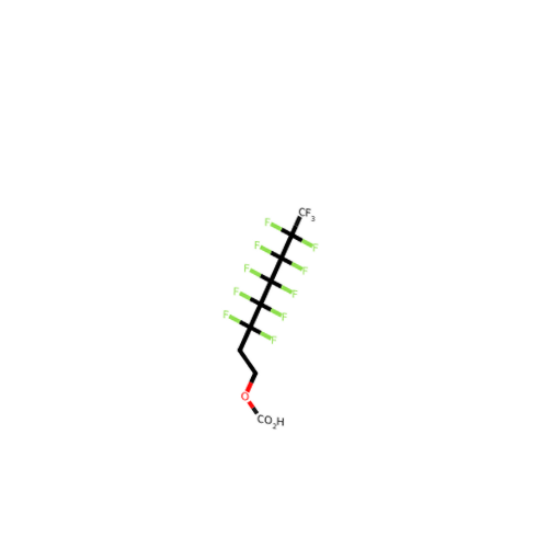 O=C(O)OCCC(F)(F)C(F)(F)C(F)(F)C(F)(F)C(F)(F)C(F)(F)F